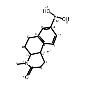 CN1C(=O)CC[C@]2(C)c3ccc(B(O)O)cc3CCC12